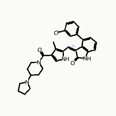 Cc1c(C(=O)N2CCC(N3CCCC3)CC2)c[nH]c1/C=C1\C(=O)Nc2cccc(-c3cccc(Cl)c3)c21